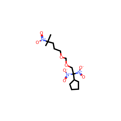 CC(C)(CCCOCOCC(C1CCCC1)([N+](=O)[O-])[N+](=O)[O-])[N+](=O)[O-]